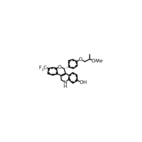 COC(C)COc1ccc([C@H]2Oc3cc(C(F)(F)F)ccc3C3=C2c2ccc(O)cc2NC3)cc1